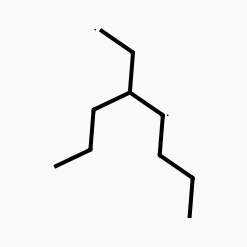 [CH2]CC([CH]CCC)CCC